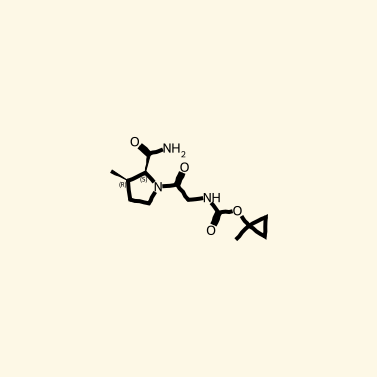 C[C@@H]1CCN(C(=O)CNC(=O)OC2(C)CC2)[C@@H]1C(N)=O